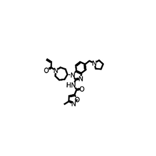 C=CC(=O)N1CCC[C@@H](n2c(NC(=O)c3cc(C)no3)nc3cc(CN4CCCC4)ccc32)CC1